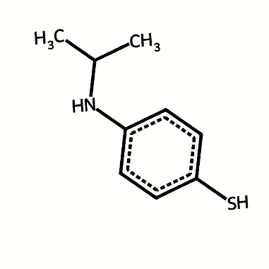 CC(C)Nc1ccc(S)cc1